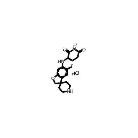 Cl.O=C1CCC(Nc2cc3c(cc2F)C2(CCNCC2)CO3)C(=O)N1